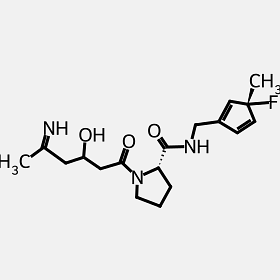 CC(=N)CC(O)CC(=O)N1CCC[C@H]1C(=O)NCC1=C[C@](C)(F)C=C1